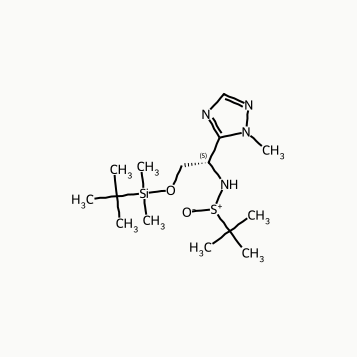 Cn1ncnc1[C@@H](CO[Si](C)(C)C(C)(C)C)N[S+]([O-])C(C)(C)C